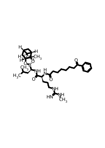 CNC(=N)NCCC[C@H](NC(=O)CCCCCCC(=O)c1ccccc1)C(=O)N[C@@H](CC(C)C)B1O[C@@H]2C[C@@H]3C[C@@H](C3(C)C)[C@]2(C)O1